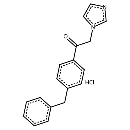 Cl.O=C(Cn1ccnc1)c1ccc(Cc2ccccc2)cc1